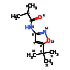 CC(C)C(=O)Nc1cc(C(C)(C)C)on1